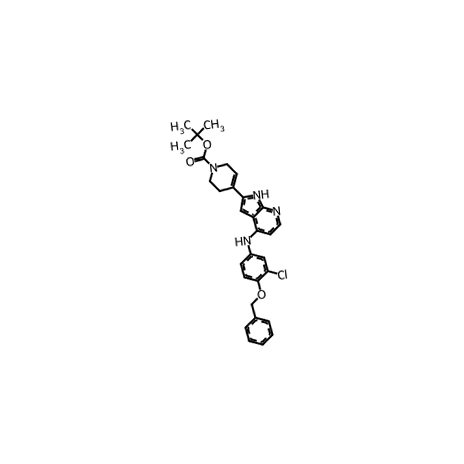 CC(C)(C)OC(=O)N1CC=C(c2cc3c(Nc4ccc(OCc5ccccc5)c(Cl)c4)ccnc3[nH]2)CC1